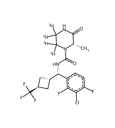 [2H]C1([2H])NC(=O)[C@H](C)N(C(=O)N[C@H](c2ccc(F)c(Cl)c2F)[C@H]2C[C@H](C(F)(F)F)C2)C1([2H])[2H]